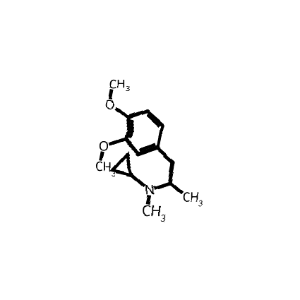 COc1ccc(CC(C)N(C)C2CC2)cc1OC